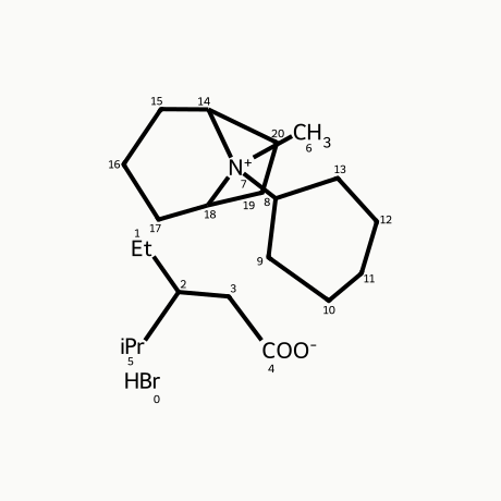 Br.CCC(CC(=O)[O-])C(C)C.C[N+]1(C2CCCCC2)C2CCCC1CC2